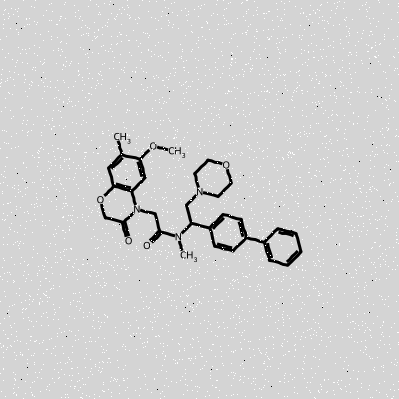 COc1cc2c(cc1C)OCC(=O)N2CC(=O)N(C)C(CN1CCOCC1)c1ccc(-c2ccccc2)cc1